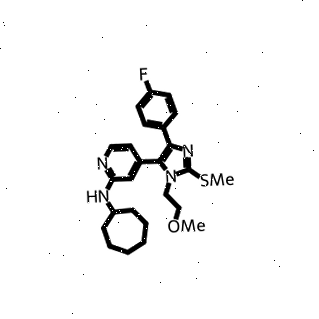 COCCn1c(SC)nc(-c2ccc(F)cc2)c1-c1ccnc(NC2CCCCCC2)c1